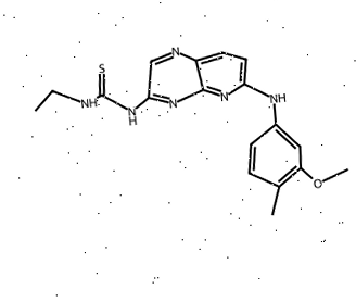 CCNC(=S)Nc1cnc2ccc(Nc3ccc(C)c(OC)c3)nc2n1